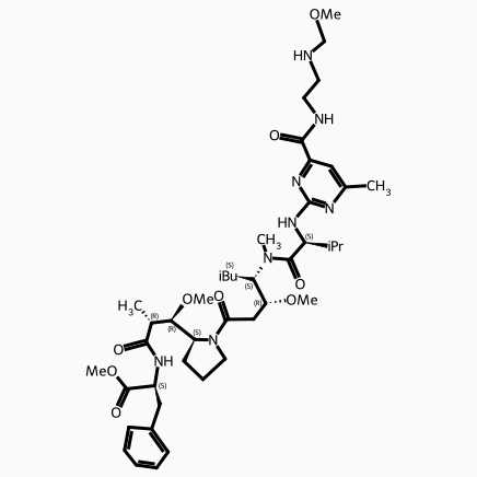 CC[C@H](C)[C@@H]([C@@H](CC(=O)N1CCC[C@H]1[C@H](OC)[C@@H](C)C(=O)N[C@@H](Cc1ccccc1)C(=O)OC)OC)N(C)C(=O)[C@@H](Nc1nc(C)cc(C(=O)NCCNCOC)n1)C(C)C